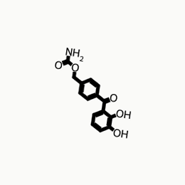 NC(=O)OCc1ccc(C(=O)c2cccc(O)c2O)cc1